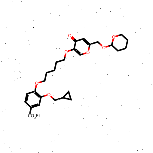 CCOC(=O)c1ccc(OCCCCCOc2coc(COC3CCCCO3)cc2=O)c(OCC2CC2)c1